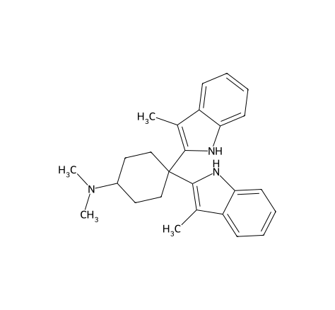 Cc1c(C2(c3[nH]c4ccccc4c3C)CCC(N(C)C)CC2)[nH]c2ccccc12